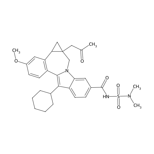 COc1ccc2c(c1)C1CC1(CC(C)=O)Cn1c-2c(C2CCCCC2)c2ccc(C(=O)NS(=O)(=O)N(C)C)cc21